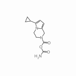 NC(=O)OC(=O)N1CCn2c(ccc2C2CC2)C1